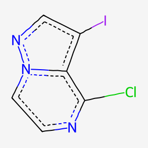 Clc1nccn2ncc(I)c12